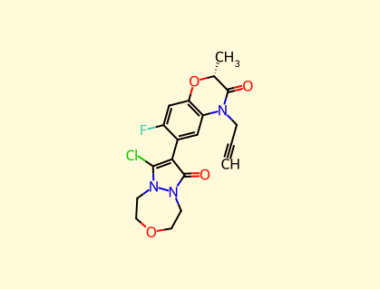 C#CCN1C(=O)[C@@H](C)Oc2cc(F)c(-c3c(Cl)n4n(c3=O)CCOCC4)cc21